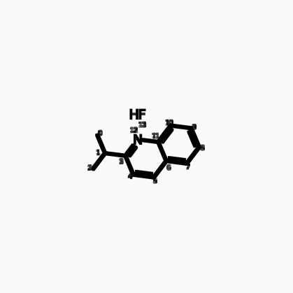 CC(C)c1ccc2ccccc2n1.F